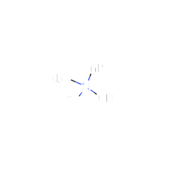 CCC[N+](C)(CC)C(C)(C)C